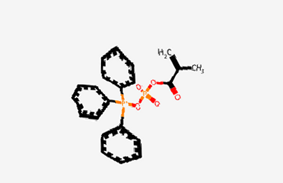 C=C(C)C(=O)OP(=O)([O-])O[P+](c1ccccc1)(c1ccccc1)c1ccccc1